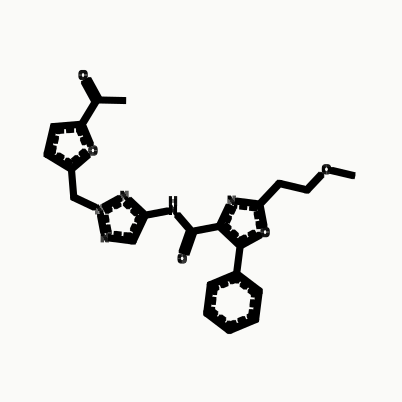 COCCc1nc(C(=O)Nc2cnn(Cc3ccc(C(C)=O)o3)n2)c(-c2ccccc2)o1